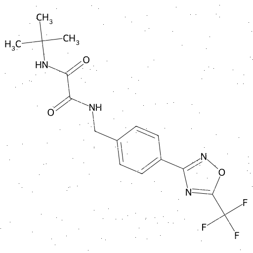 CC(C)(C)NC(=O)C(=O)NCc1ccc(-c2noc(C(F)(F)F)n2)cc1